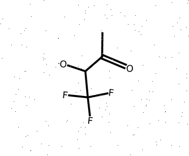 CC(=O)C([O])C(F)(F)F